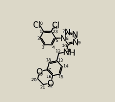 Clc1cccc(-n2nnnc2NCc2ccc3c(c2)OCCO3)c1Cl